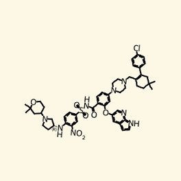 CC1(C)CCC(CN2CCN(c3ccc(C(=O)NS(=O)(=O)c4ccc(N[C@@H]5CCN(C6CCOC(C)(C)C6)C5)c([N+](=O)[O-])c4)c(Oc4cnc5[nH]ccc5c4)c3)CC2)=C(c2ccc(Cl)cc2)C1